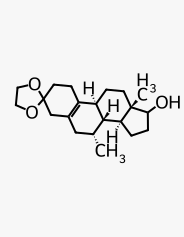 C[C@@H]1CC2=C(CCC3(C2)OCCO3)[C@H]2CC[C@]3(C)C(O)CC[C@H]3[C@H]12